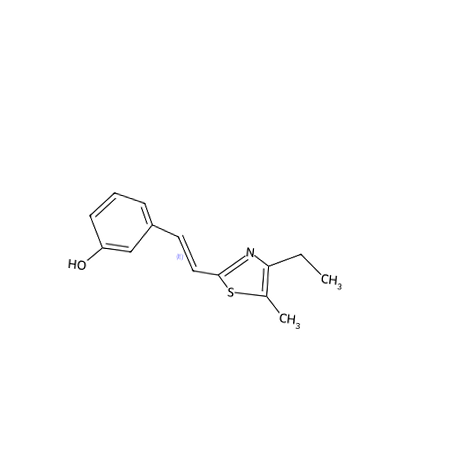 CCc1nc(/C=C/c2cccc(O)c2)sc1C